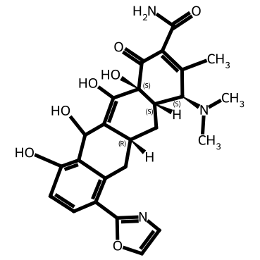 CC1=C(C(N)=O)C(=O)[C@@]2(O)C(O)=C3C(O)c4c(O)ccc(-c5ncco5)c4C[C@H]3C[C@H]2[C@@H]1N(C)C